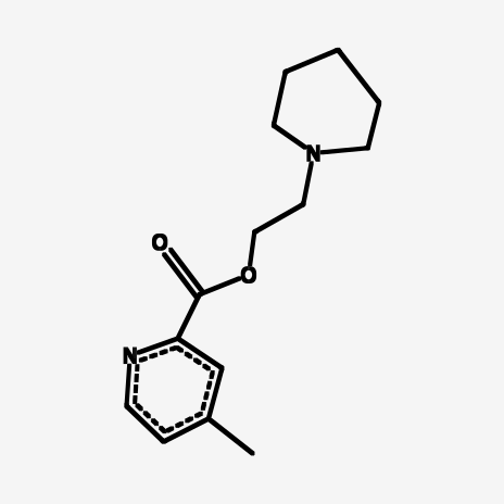 Cc1ccnc(C(=O)OCCN2CCCCC2)c1